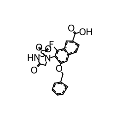 O=C1CN(c2c(OCc3ccccc3)cc3ccc(C(=O)O)cc3c2F)S(=O)(=O)N1